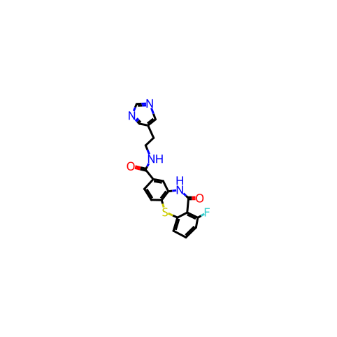 O=C(NCCc1cncnc1)c1ccc2c(c1)NC(=O)c1c(F)cccc1S2